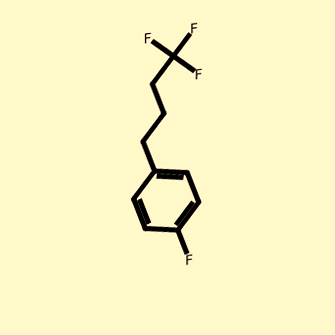 Fc1ccc(CCCC(F)(F)F)cc1